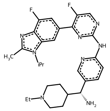 CCN1CCC([C@@H](N)c2ccc(Nc3ncc(F)c(-c4cc(F)c5nc(C)n(C(C)C)c5c4)n3)nc2)CC1